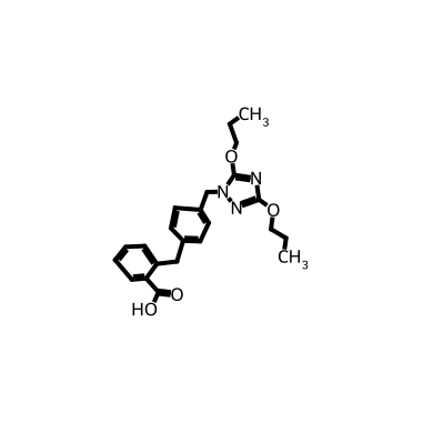 CCCOc1nc(OCCC)n(Cc2ccc(Cc3ccccc3C(=O)O)cc2)n1